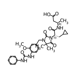 COc1cc(CN2C(=O)N([C@@H](CC3CC3)C(=O)N[C@H](C)CC(=O)O)C(=O)C2(C)C)ccc1NC(=O)Nc1ccccc1